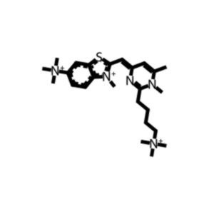 CC1=C/C(=C/c2sc3cc([N+](C)(C)C)ccc3[n+]2C)N=C(CCCC[N+](C)(C)C)N1C